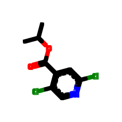 CC(C)OC(=O)c1cc(Cl)ncc1Cl